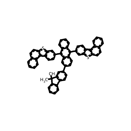 CC1(C)c2ccccc2-c2ccc(-c3ccc4c(-c5ccc6c(c5)sc5ccc7ccccc7c56)c5ccccc5c(-c5ccc6c(c5)sc5ccc7ccccc7c56)c4c3)cc21